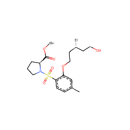 CC[C@H](CCO)CCOc1cc(C)ccc1S(=O)(=O)N1CCC[C@H]1C(=O)OC(C)(C)C